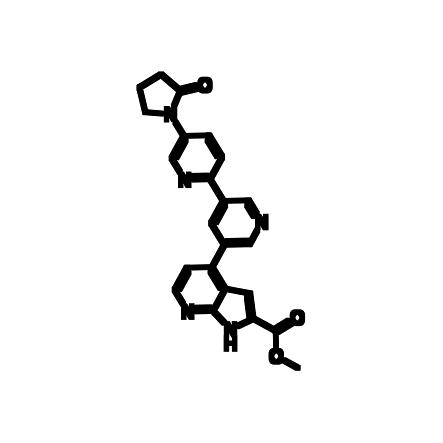 COC(=O)c1cc2c(-c3cncc(-c4ccc(N5CCCC5=O)cn4)c3)ccnc2[nH]1